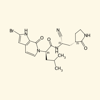 CC(C)C[C@H](C(=O)N[C@H](C#N)C[C@@H]1CCNC1=O)n1ccc2cc(Br)[nH]c2c1=O